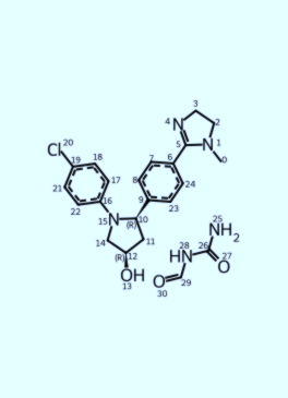 CN1CCN=C1c1ccc([C@H]2C[C@@H](O)CN2c2ccc(Cl)cc2)cc1.NC(=O)NC=O